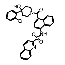 O=C(c1ccc(NS(=O)(=O)c2ccc3ccccc3n2)c2ccccc12)N1CCC(O)(c2ccccc2Cl)CC1